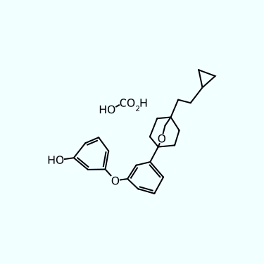 O=C(O)O.Oc1cccc(Oc2cccc(C34CCC(CCC5CC5)(CC3)CO4)c2)c1